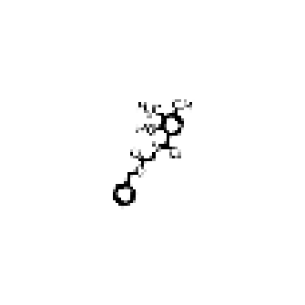 CC/C(=N\CC(=O)OCc1ccccc1)C1CC=C(O)C(C)=C1O